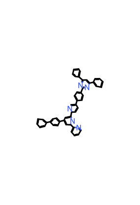 c1ccc(-c2ccc(-c3cc(-c4ccccn4)nc(-c4ccc(-c5ccc(-c6nc(-c7ccccc7)cc(-c7ccccc7)n6)cc5)cn4)c3)cc2)cc1